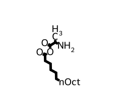 CCCCCCCCCCCCCC(=O)OC(=O)C(C)N